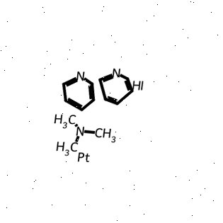 CN(C)C.I.[Pt].c1ccncc1.c1ccncc1